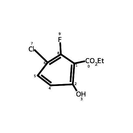 CCOC(=O)c1c(O)ccc(Cl)c1F